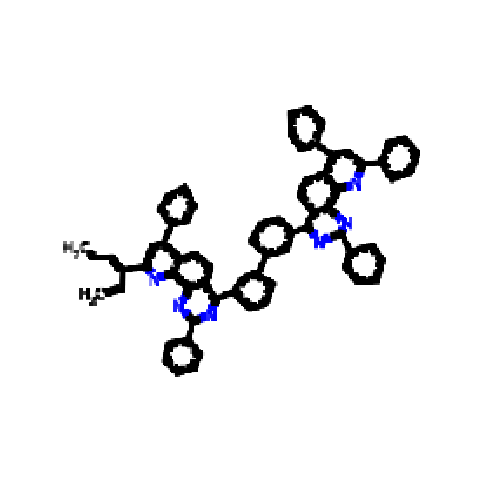 C=C/C=C(\C=C)c1cc(-c2ccccc2)c2ccc3c(-c4cccc(-c5cccc(-c6nc(-c7ccccc7)nc7c6ccc6c(-c8ccccc8)cc(-c8ccccc8)nc67)c5)c4)nc(-c4ccccc4)nc3c2n1